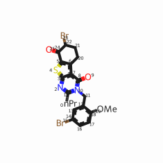 CCCc1nc2sc3c(c2c(=O)n1Cc1cc(Br)ccc1OC)CCC(Br)C3=O